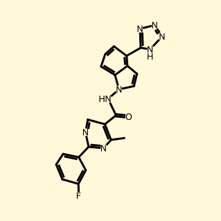 Cc1nc(-c2cccc(F)c2)ncc1C(=O)Nn1ccc2c(-c3nnn[nH]3)cccc21